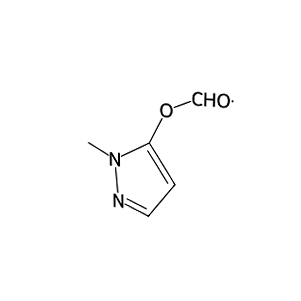 Cn1nccc1O[C]=O